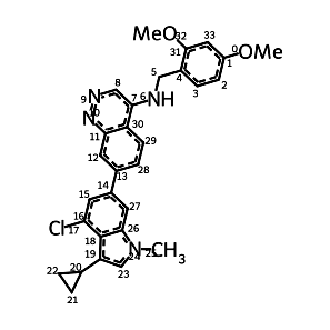 COc1ccc(CNc2cnnc3cc(-c4cc(Cl)c5c(C6CC6)cn(C)c5c4)ccc23)c(OC)c1